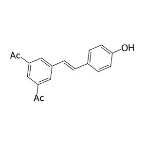 CC(=O)c1cc(C=Cc2ccc(O)cc2)cc(C(C)=O)c1